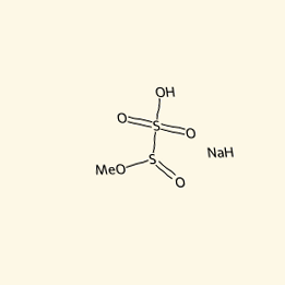 COS(=O)S(=O)(=O)O.[NaH]